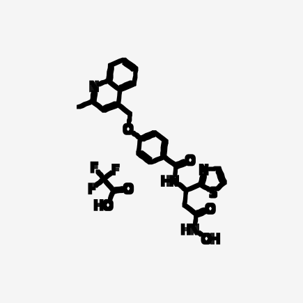 Cc1cc(COc2ccc(C(=O)NC(CC(=O)NO)c3nccs3)cc2)c2ccccc2n1.O=C(O)C(F)(F)F